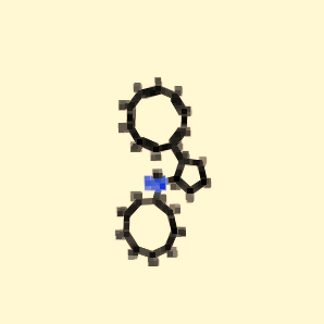 c1ccccc(C2CCCC2NC2CCCCCCCC2)cccc1